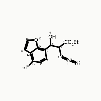 CCOC(=O)C(N=[N+]=[N-])C(O)c1ccc(F)c2ccoc12